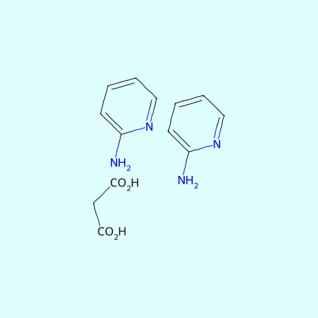 Nc1ccccn1.Nc1ccccn1.O=C(O)CC(=O)O